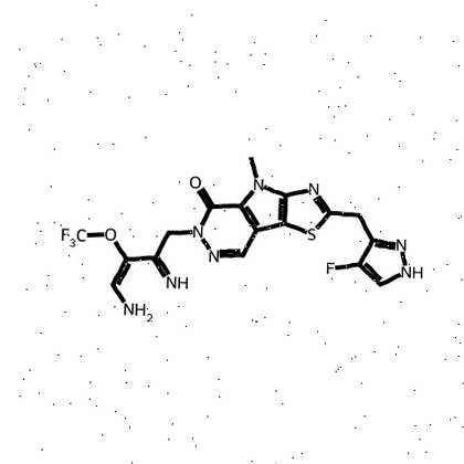 Cn1c2nc(Cc3n[nH]cc3F)sc2c2cnn(CC(=N)/C(=C\N)OC(F)(F)F)c(=O)c21